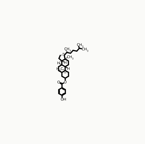 CC(C)CCC[C@@H](C)[C@H]1CC[C@H]2[C@@H]3CCC4CC(OC(=O)c5ccc(O)cc5)CC[C@]4(C)[C@H]3CC[C@]12C